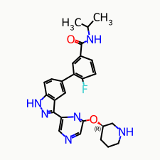 CC(C)NC(=O)c1ccc(F)c(-c2ccc3[nH]nc(-c4cncc(O[C@@H]5CCCNC5)n4)c3c2)c1